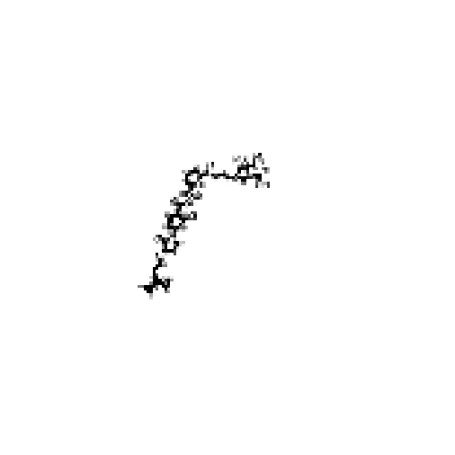 CC1(C)C[C@H](CCCNc2cccc(S(=O)(=O)NC(=O)c3ccc(N4CCC(OCCC5C6(CC6)C56CC6)C4=O)nc3Cl)n2)CN1C(=O)O